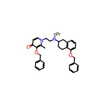 CCCN(CCn1ccc(=O)c(OCc2ccccc2)c1C)C1CCc2c(cccc2OCc2ccccc2)C1